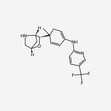 CC1([C@H]2O[C@@H]3CN[C@H]2C3)C=CC(Nc2ccc(C(F)(F)F)cn2)=CC1